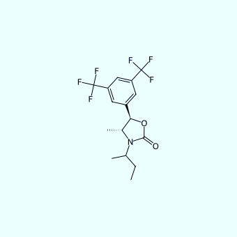 CCC(C)N1C(=O)O[C@H](c2cc(C(F)(F)F)cc(C(F)(F)F)c2)[C@H]1C